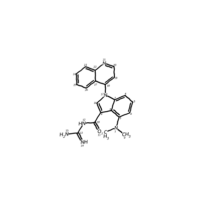 CN(C)c1cccc2c1c(C(=O)NC(=N)N)cn2-c1ccnc2ccccc12